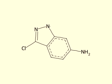 Nc1ccc2c(c1)[N]N=C2Cl